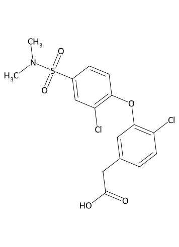 CN(C)S(=O)(=O)c1ccc(Oc2cc(CC(=O)O)ccc2Cl)c(Cl)c1